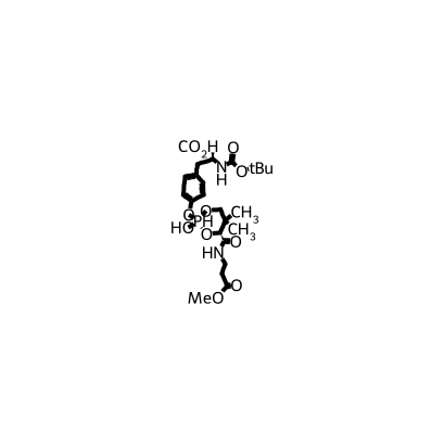 COC(=O)CCNC(=O)[C@@H]1O[PH](O)(Oc2ccc(C[C@H](NC(=O)OC(C)(C)C)C(=O)O)cc2)OCC1(C)C